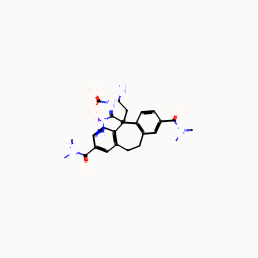 CN(C)C(=O)c1ccc2c(c1)CCc1cc(C(=O)N(C)C)ccc1C2(CCN)c1nc(=O)o[nH]1